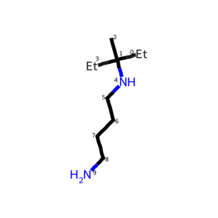 CCC(C)(CC)NCCCCN